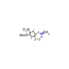 COc1cc2c(cc1[N+](=O)[O-])CN(C)CCC2